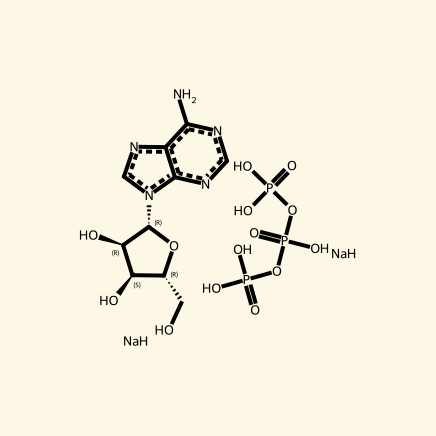 Nc1ncnc2c1ncn2[C@@H]1O[C@H](CO)[C@@H](O)[C@H]1O.O=P(O)(O)OP(=O)(O)OP(=O)(O)O.[NaH].[NaH]